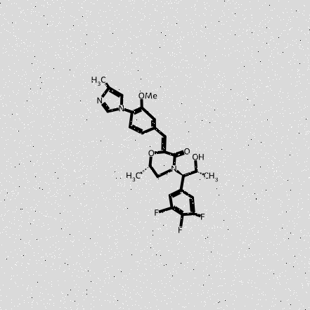 COc1cc(/C=C2\O[C@@H](C)CN([C@H](c3cc(F)c(F)c(F)c3)[C@@H](C)O)C2=O)ccc1-n1cnc(C)c1